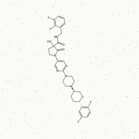 O=C(NCc1cccc(F)c1F)C1(O)CCN(c2cnc(N3CCN([C@@H]4CC[C@@H](c5cc(F)ccc5F)OC4)CC3)nc2)C1=O